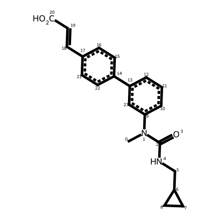 CN(C(=O)NCC1CC1)c1cccc(-c2ccc(/C=C/C(=O)O)cc2)c1